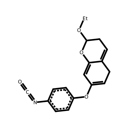 CCOC1CC=C2CC=C(Oc3ccc(N=C=O)cc3)C=C2O1